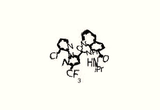 CC(C)NC(=O)c1ccc2cccnc2c1NC(=O)c1cc(C(F)(F)F)nn1-c1ncccc1Cl